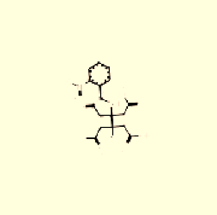 NC(CC(=O)O)(CC(=O)O)C(CC(=O)O)(CC(=O)O)NCc1ccccc1[N+](=O)[O-]